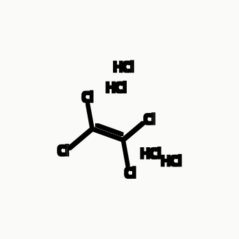 Cl.Cl.Cl.Cl.ClC(Cl)=C(Cl)Cl